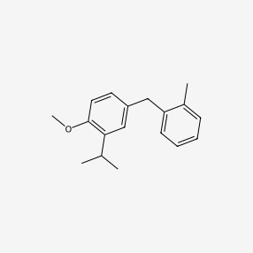 COc1ccc(Cc2ccccc2C)cc1C(C)C